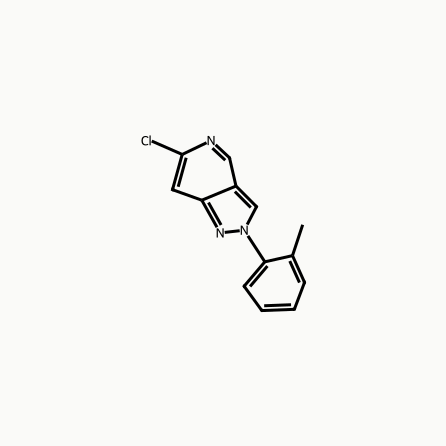 Cc1ccccc1-n1cc2cnc(Cl)cc2n1